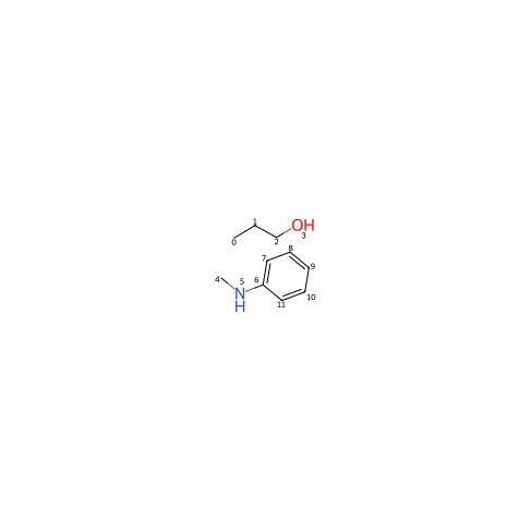 CCCO.CNc1ccccc1